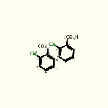 O=C(O)c1ccccc1Cl.O=C(O)c1ccccc1Cl